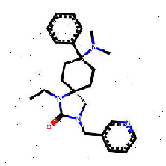 CCN1C(=O)N(Cc2cccnc2)C[C@]12CC[C@](c1ccccc1)(N(C)C)CC2